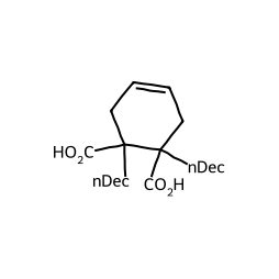 CCCCCCCCCCC1(C(=O)O)CC=CCC1(CCCCCCCCCC)C(=O)O